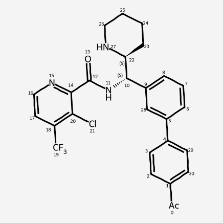 CC(=O)c1ccc(-c2cccc([C@H](NC(=O)c3nccc(C(F)(F)F)c3Cl)[C@@H]3CCCCN3)c2)cc1